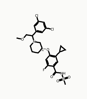 COCC(c1cc(Cl)cc(Cl)c1)N1CCC[C@@H](Oc2cc(F)c(C(=O)NS(C)(=O)=O)cc2C2CC2)C1